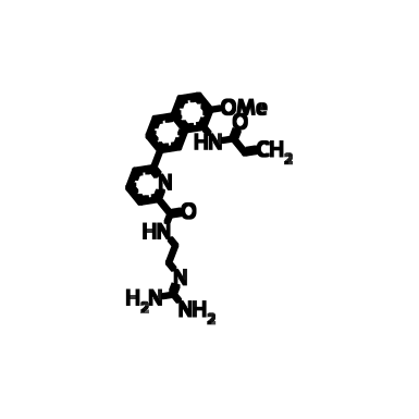 C=CC(=O)Nc1c(OC)ccc2ccc(-c3cccc(C(=O)NCCN=C(N)N)n3)cc12